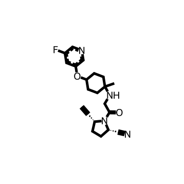 C#C[C@H]1CC[C@@H](C#N)N1C(=O)CNC1(C)CCC(Oc2cncc(F)c2)CC1